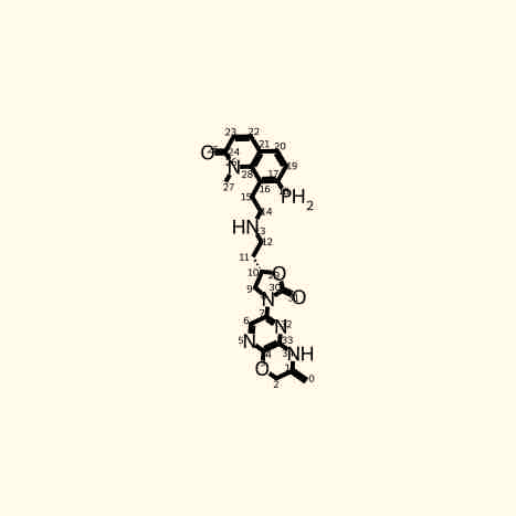 C=C1COc2ncc(N3C[C@H](CCNCCc4c(P)ccc5ccc(=O)n(C)c45)OC3=O)nc2N1